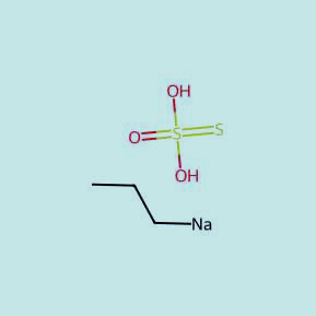 CC[CH2][Na].O=S(O)(O)=S